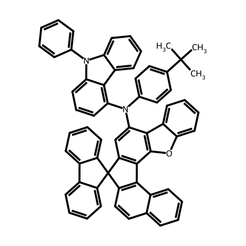 CC(C)(C)c1ccc(N(c2cc3c(c4oc5ccccc5c24)-c2c(ccc4ccccc24)C32c3ccccc3-c3ccccc32)c2cccc3c2c2ccccc2n3-c2ccccc2)cc1